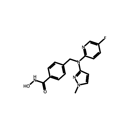 Cn1ccc(N(Cc2ccc(C(=O)NO)cc2)c2ccc(F)cn2)n1